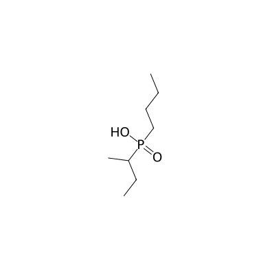 CCCCP(=O)(O)C(C)CC